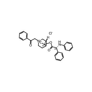 O=C(C[N+]12CCC(CC1)[C@@H](OC(=O)[C@H](Nc1ccccc1)c1ccccc1)C2)c1ccccc1.[Cl-]